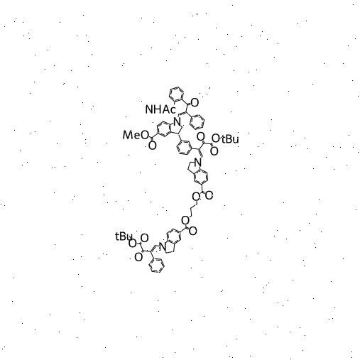 COC(=O)c1ccc2c(c1)C(c1cccc(/C(=C\N3CCc4cc(C(=O)OCCCOC(=O)c5ccc6c(c5)CCN6/C=C(/C(=O)C(=O)OC(C)(C)C)c5ccccc5)ccc43)C(=O)C(=O)OC(C)(C)C)c1)CN2/C=C(/C(=O)c1ccccc1NC(C)=O)c1ccccc1